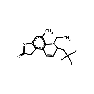 CCN1c2c(C)cc3c(c2C=CC1CC(F)(F)F)CC(=O)N3